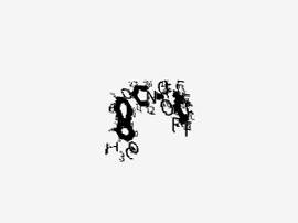 COc1ccc2ccc(OC3CCN(C(=O)OC(C(F)(F)F)C(F)(F)F)CC3)cc2c1